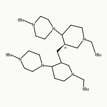 CC(C)(C)CN1CCC(N2CCN(C(C)(C)C)CC2)C(C[C@@H]2CN(CC(C)(C)C)CCC2N2CCN(C(C)(C)C)CC2)C1